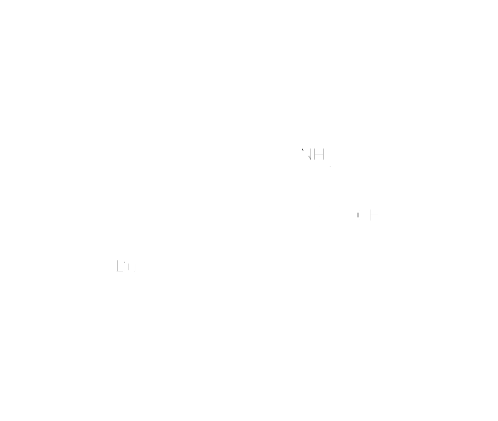 CC(N)CCCCC(C)(C)C